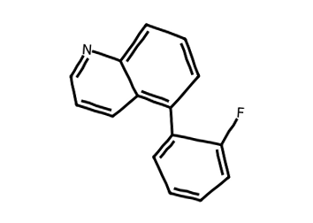 Fc1ccccc1-c1cccc2ncccc12